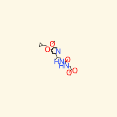 COc1cnc(C(C)CNC(=O)NCC(OC)OC)cc1OCC1CC1